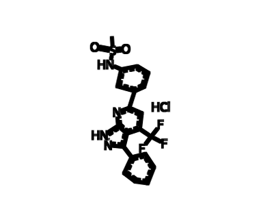 CS(=O)(=O)Nc1cccc(-c2cc(C(F)(F)F)c3c(-c4ccccc4)n[nH]c3n2)c1.Cl